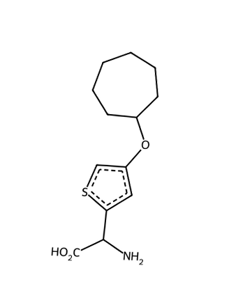 NC(C(=O)O)c1cc(OC2CCCCCC2)cs1